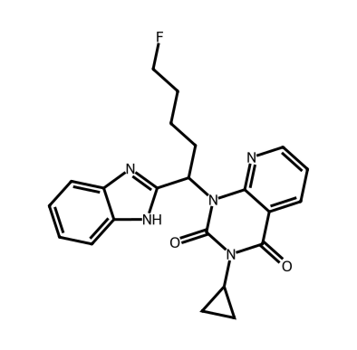 O=c1c2cccnc2n(C(CCCCF)c2nc3ccccc3[nH]2)c(=O)n1C1CC1